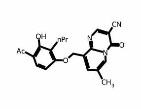 CCCc1c(OCc2cc(C)cn3c(=O)c(C#N)cnc23)ccc(C(C)=O)c1O